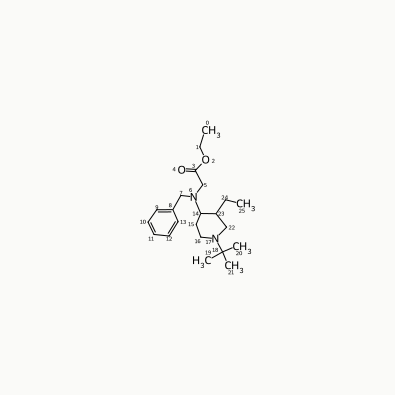 CCOC(=O)CN(Cc1ccccc1)C1CCN(C(C)(C)C)CC1CC